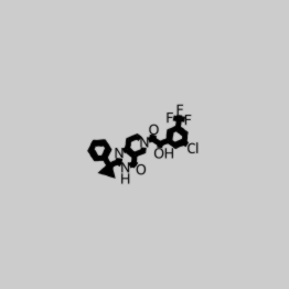 O=C(C(O)c1cc(Cl)cc(C(F)(F)F)c1)N1CCc2nc(C3(c4ccccc4)CC3)[nH]c(=O)c2C1